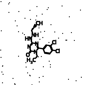 C#CCNNc1nc(-c2ccc(Cl)c(Cl)c2)n(CC)c(=O)n1